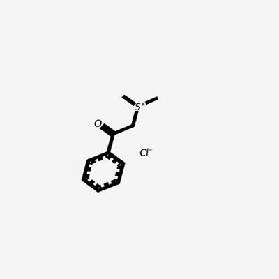 C[S+](C)CC(=O)c1ccccc1.[Cl-]